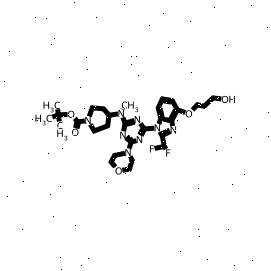 CN(c1nc(N2CCOCC2)nc(-n2c(C(F)F)nc3c(OCCCO)cccc32)n1)C1CCN(C(=O)OC(C)(C)C)CC1